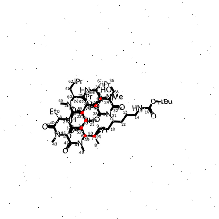 CC[C@H](NC(=O)C(C[C@H](C)CCCCCCNC(=O)OC(C)(C)C)N(C)C(=O)[C@H](C(C)C)N(C)C(=O)N(C)C(=O)[C@H](CC(C)C)N(C)C=O)C(=O)N(C)CC(=O)N(C)[C@@H](CC(C)C)C(=O)N[C@H](C(=O)N(C)[C@@H](CC(C)C)C(=O)N[C@H](C)C(=O)NC)C(C)C